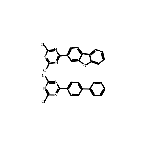 Clc1nc(Cl)nc(-c2ccc(-c3ccccc3)cc2)n1.Clc1nc(Cl)nc(-c2ccc3c(c2)oc2ccccc23)n1